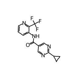 O=C(Nc1cccnc1C(F)(F)F)c1cnc(C2CC2)nc1